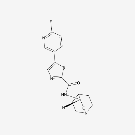 O=C(N[C@H]1CN2CCC1CC2)c1ncc(-c2ccc(F)nc2)s1